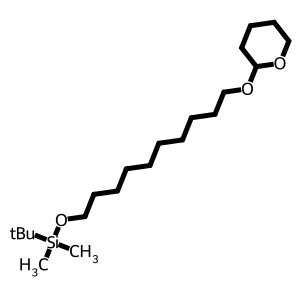 CC(C)(C)[Si](C)(C)OCCCCCCCCCCOC1CCCCO1